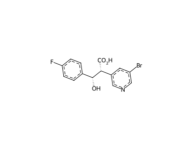 O=C(O)[C@H](c1cncc(Br)c1)[C@H](O)c1ccc(F)cc1